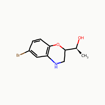 C[C@H](O)C1CNc2cc(Br)ccc2O1